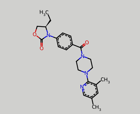 CC[C@@H]1COC(=O)N1c1ccc(C(=O)N2CCN(c3ncc(C)cc3C)CC2)cc1